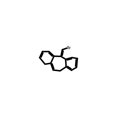 BrC=C1C2=CC=CCC2=CCc2ccccc21